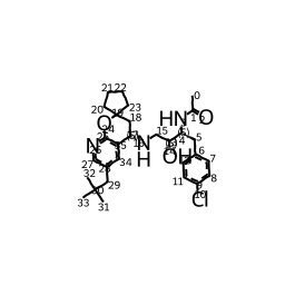 CC(=O)N[C@@H](Cc1ccc(Cl)cc1)[C@@H](O)CN[C@H]1CC2(CCCC2)Oc2ncc(CC(C)(C)C)cc21